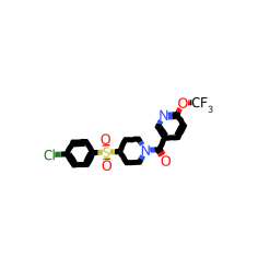 O=C(c1ccc(OC(F)(F)F)nc1)N1CCC(S(=O)(=O)c2ccc(Cl)cc2)CC1